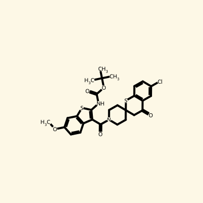 COc1ccc2c(C(=O)N3CCC4(CC3)CC(=O)c3cc(Cl)ccc3S4)c(NC(=O)OC(C)(C)C)sc2c1